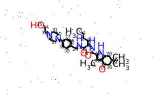 CCCCC(NC(=O)c1[nH]c2c(c1C)C(=O)CC(C)(C)C2)C(=O)NCc1ccc(N2CCN(CCO)CC2)cc1